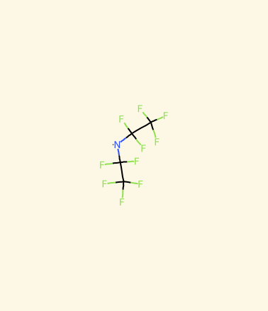 FC(F)(F)C(F)(F)[N]C(F)(F)C(F)(F)F